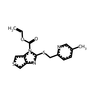 C=COC(=O)n1c(SCc2ccc(C)cn2)nc2cscc21